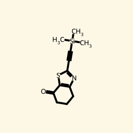 C[Si](C)(C)C#Cc1nc2c(s1)C(=O)CCC2